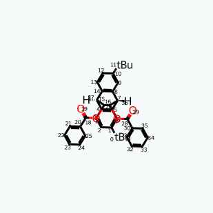 CC(C)(C)c1ccc2c(c1)[C@H]1c3cc(C(C)(C)C)ccc3[C@H]2C(OC(=O)c2ccccc2)C1OC(=O)c1ccccc1